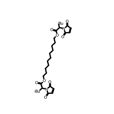 CCC(C)C(C(=O)OCCCCCCCCCCCOC(=O)C(C(C)CC)N1C(=O)C=CC1=O)N1C(=O)C=CC1=O